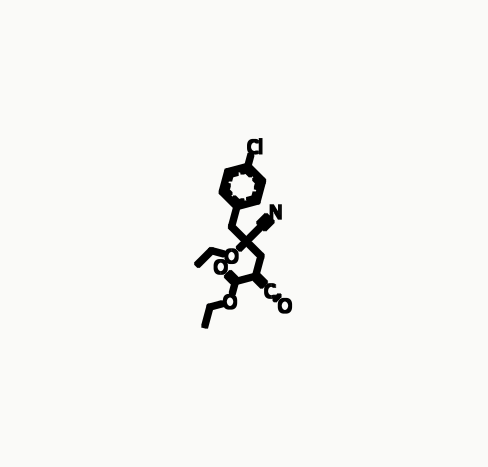 CCOC(=O)C(=C=O)CC(C#N)(Cc1ccc(Cl)cc1)OCC